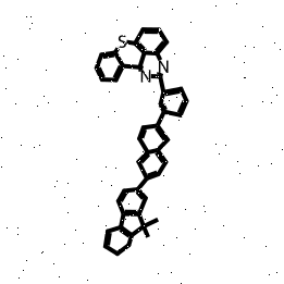 CC1(C)C2=C(C=CCC2)c2ccc(-c3ccc4cc(-c5cccc(-c6nc7c8c(cccc8n6)Sc6ccccc6-7)c5)ccc4c3)cc21